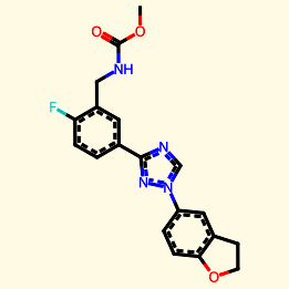 COC(=O)NCc1cc(-c2ncn(-c3ccc4c(c3)CCO4)n2)ccc1F